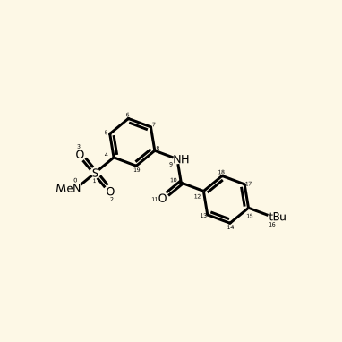 CNS(=O)(=O)c1cccc(NC(=O)c2ccc(C(C)(C)C)cc2)c1